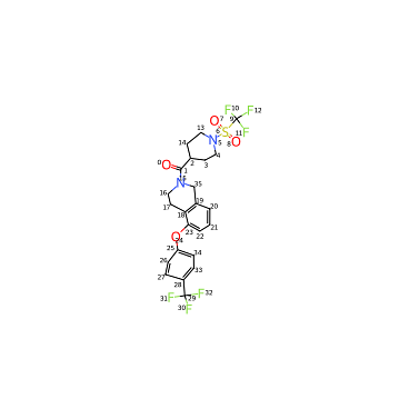 O=C(C1CCN(S(=O)(=O)C(F)(F)F)CC1)N1CCc2c(cccc2Oc2ccc(C(F)(F)F)cc2)C1